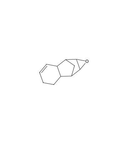 C1=CC2C(CC1)C1CC2C2OC12